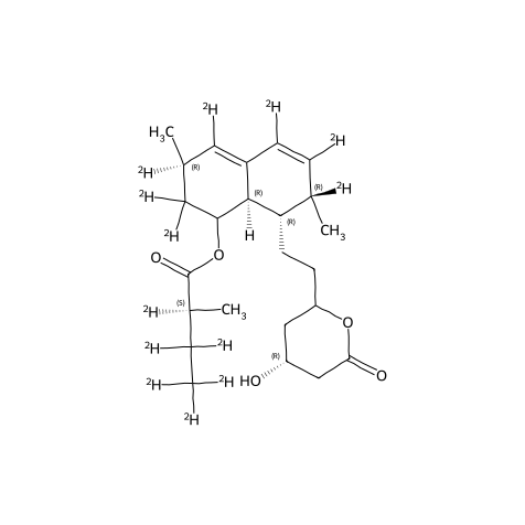 [2H]C1=C([2H])[C@]([2H])(C)[C@H](CCC2C[C@@H](O)CC(=O)O2)[C@@H]2C1=C([2H])[C@]([2H])(C)C([2H])([2H])C2OC(=O)[C@@]([2H])(C)C([2H])([2H])C([2H])([2H])[2H]